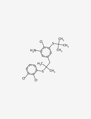 CC(C)(C)Sc1cc(CC(C)(C)Sc2cccc(Cl)c2Cl)cc(N)c1Cl